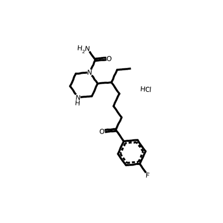 CCC(CCCC(=O)c1ccc(F)cc1)C1CNCCN1C(N)=O.Cl